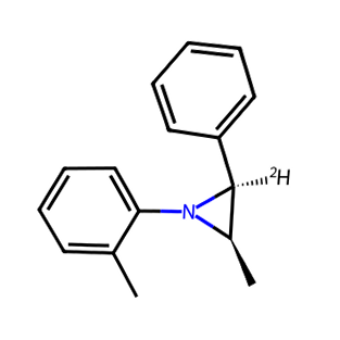 [2H][C@]1(c2ccccc2)[C@@H](C)N1c1ccccc1C